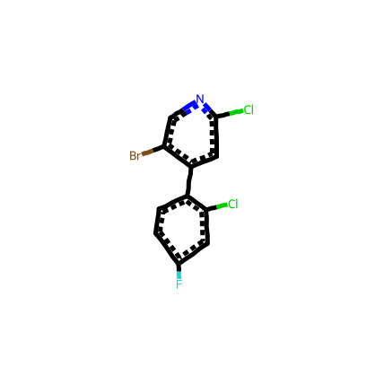 Fc1ccc(-c2cc(Cl)ncc2Br)c(Cl)c1